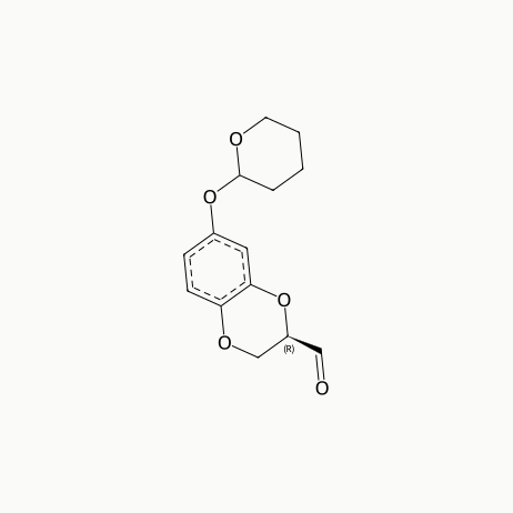 O=C[C@H]1COc2ccc(OC3CCCCO3)cc2O1